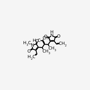 C=CC1=C(C(C)C(=C(C)C)C(C)C2=C(C=C)C(=O)N(C)C2=O)C(=O)NC1=O